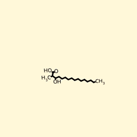 CCCCCCCCCCCCCC(O)C(C)C(=O)O